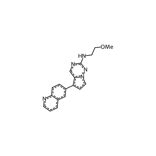 COCCNc1ncc2c(-c3ccc4ncccc4c3)ccn2n1